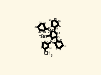 Cc1cccc(-n2c3ccccc3c3cc4c5ccccc5n(-c5ccccc5)c4c(C(C)(C)C)c32)c1